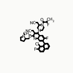 C=C(F)C(=O)N1CCN(C2=C(CC#N)C(OCC3CCCN3C)=NC3C=C(c4cccc5ccc(F)c(Cl)c45)C(F)=CC23)CC1CC#N